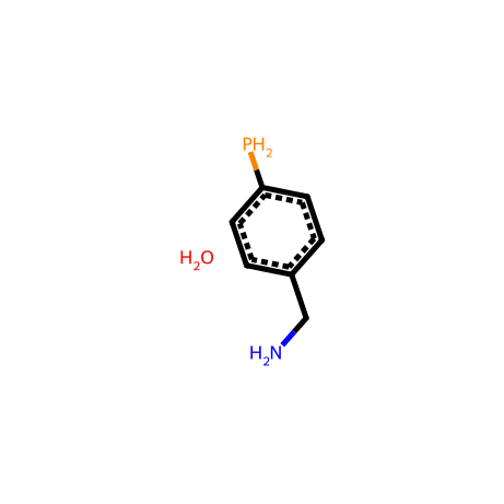 NCc1ccc(P)cc1.O